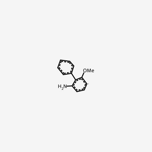 COc1[c]ccc(N)c1-c1ccccc1